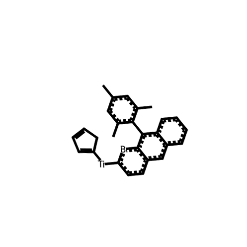 Cc1cc(C)c(-c2c3b[c]([Ti][C]4=CC=CC4)ccc3cc3ccccc23)c(C)c1